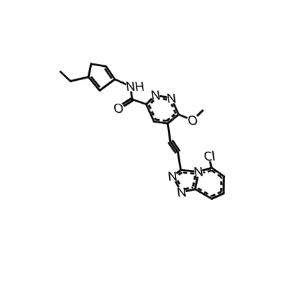 CCC1=CC(NC(=O)c2cc(C#Cc3nnc4cccc(Cl)n34)c(OC)nn2)=CC1